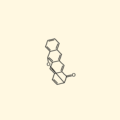 O=C1c2cc3cc4ccccc4c4c3cc2C=CC1O4